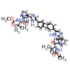 COC(=O)N[C@H](C(=O)N1C2CCC(CC2)[C@H]1c1ncc(-c2ccc3c(c2)-c2ccc(-c4cnc([C@@H]5C6CCC(CC6)N5C(=O)[C@@H](NC(=O)OC)C(C)C)[nH]4)cc2-3)[nH]1)C(C)C